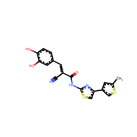 Cc1cc(-c2csc(NC(=O)/C(C#N)=C/c3ccc(O)c(O)c3)n2)cs1